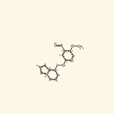 COc1cnc(OCc2cccn3cncc23)cc1C=O